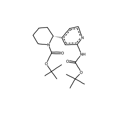 CC(C)(C)OC(=O)Nc1cc([C@H]2CCCCN2C(=O)OC(C)(C)C)ccn1